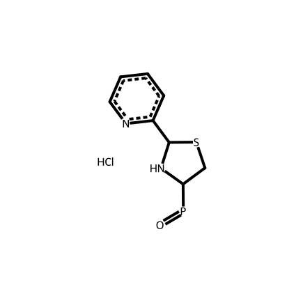 Cl.O=PC1CSC(c2ccccn2)N1